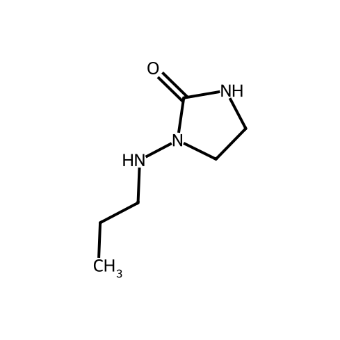 CCCNN1CCNC1=O